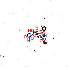 C#C[C@]1(COP(=O)(N[C@@H](C)C(=O)OC(C)(C)C)Oc2ccccc2)O[C@@H](n2ccc(=O)[nH]c2=O)[C@H](O)[C@@H]1O